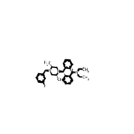 CCN(CC)C(=O)c1ccccc1[C@@H](c1ccccc1)N1C[C@H](C)N(Cc2cccc(F)c2)C[C@H]1C